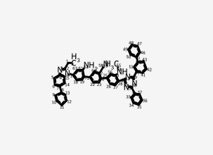 CCc1nc2ccc(-c3ccccc3)cc2n1-c1ccc(-c2ccc(-c3ccc(-c4nc(-c5ccccc5)nc(-c5cccc(-c6ccccc6)c5)n4)c(NC)c3)c(C#N)c2)c(N)c1